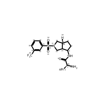 CCC[C@H](N)C(=O)NC1CC[C@H]2CN(S(=O)(=O)c3cccc(C(F)(F)F)c3)CC12